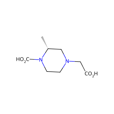 C[C@@H]1CN(CC(=O)O)CCN1C(=O)O